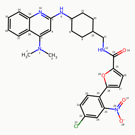 CN(C)c1cc(NC2CCC(CNC(=O)c3ccc(-c4ccc(Cl)cc4[N+](=O)[O-])o3)CC2)nc2ccccc12